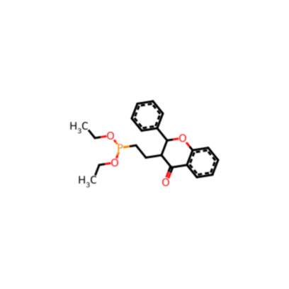 CCOP(CCC1C(=O)c2ccccc2OC1c1ccccc1)OCC